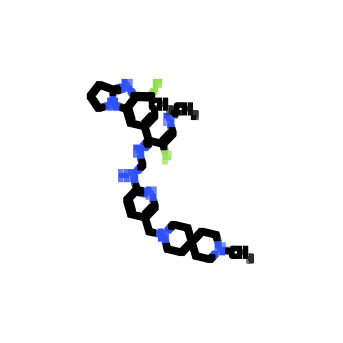 C=N\C=C(F)/C(=N\CNc1ccc(CN2CCC3(CCN(C)CC3)CC2)cn1)C(=C/C)/C=c1\c(=C\F)nc2n1CCC2